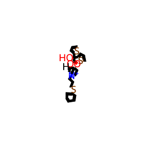 O=C(O[C@H]1C[N+]2(CCCSc3ccccc3)CCC1CC2)C(O)(c1cccs1)c1cccs1